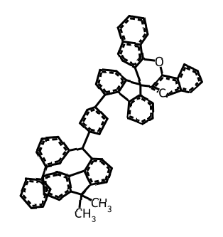 CC1(C)c2ccccc2-c2c(C(c3ccc(-c4cccc5c4-c4ccccc4C54c5ccc6ccccc6c5Oc5c4ccc4ccccc54)cc3)c3cccc(-c4ccccc4)c3)cccc21